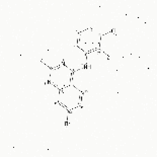 C/C=C\C(Nc1nc(C)nc2cc(Br)cnc12)=C(\C)CCl